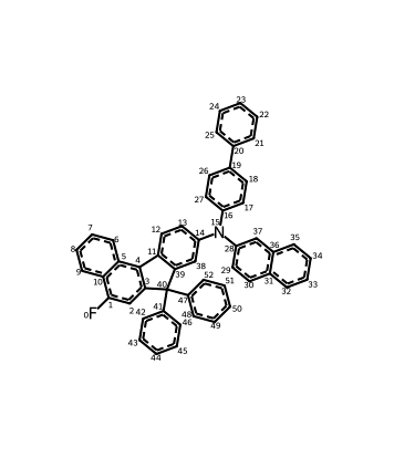 Fc1cc2c(c3ccccc13)-c1ccc(N(c3ccc(-c4ccccc4)cc3)c3ccc4ccccc4c3)cc1C2(c1ccccc1)c1ccccc1